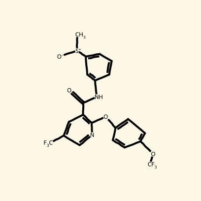 C[S+]([O-])c1cccc(NC(=O)c2cc(C(F)(F)F)cnc2Oc2ccc(OC(F)(F)F)cc2)c1